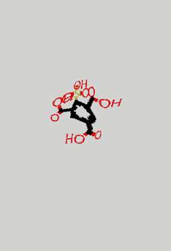 O=C(O)c1cc(C(=O)O)c(S(=O)(=O)O)c(C(=O)O)c1